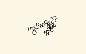 Cc1cccc(C)c1-c1cc(OC2CCN(C(=O)Cc3c(C)[nH]c4ccccc34)C2)nc(NS(=O)(=O)c2cnn(C)c2)n1